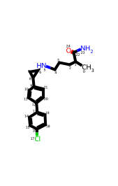 CC(CCCN[C@H]1CC1c1ccc(-c2ccc(Cl)cc2)cc1)C(N)=O